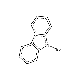 C[CH]n1c2ccccc2c2ccccc21